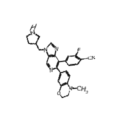 CN1CCOc2cc(-c3ncc4c(ncn4CC4CCNC4)c3-c3ccc(C#N)c(F)c3)ccc21